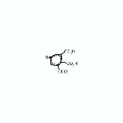 O=C([O-])c1cccc(C(=O)O)c1C(=O)O.[Na+]